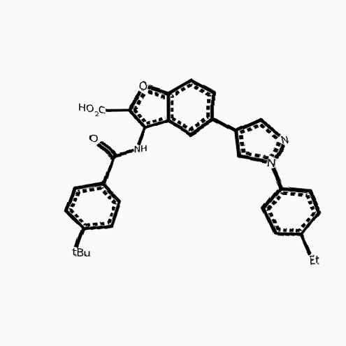 CCc1ccc(-n2cc(-c3ccc4oc(C(=O)O)c(NC(=O)c5ccc(C(C)(C)C)cc5)c4c3)cn2)cc1